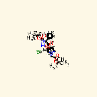 CC(C)(C)OC(=O)C[N+]12CCC(CC1)[C@@H](OC(=O)C(NC(=O)OC(C)(C)C)c1ccccc1)C2.[Br-]